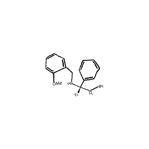 CCCN[C@](CC)(NCc1ccccc1OC)c1ccccc1